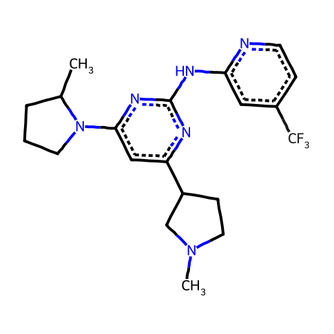 CC1CCCN1c1cc(C2CCN(C)C2)nc(Nc2cc(C(F)(F)F)ccn2)n1